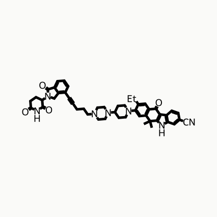 CCc1cc2c(cc1N1CCC(N3CCN(CCCC#Cc4cccc5c4CN(C4CCC(=O)NC4=O)C5=O)CC3)CC1)C(C)(C)c1[nH]c3cc(C#N)ccc3c1C2=O